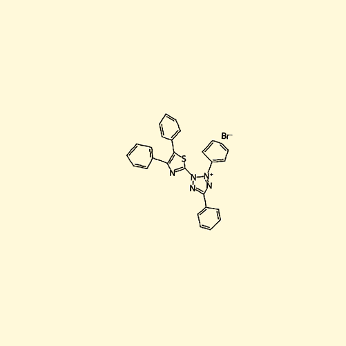 [Br-].c1ccc(-c2nn(-c3nc(-c4ccccc4)c(-c4ccccc4)s3)[n+](-c3ccccc3)n2)cc1